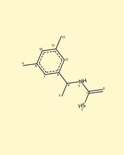 C=C(S)NC(C)c1cc(C)cc(C)c1